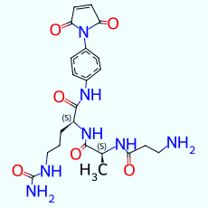 C[C@H](NC(=O)CCN)C(=O)N[C@@H](CCCNC(N)=O)C(=O)Nc1ccc(N2C(=O)C=CC2=O)cc1